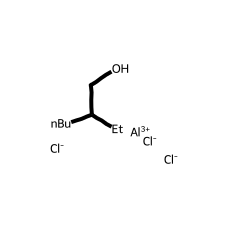 CCCCC(CC)CO.[Al+3].[Cl-].[Cl-].[Cl-]